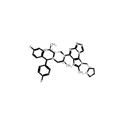 Cc1nc2c(N3C[C@@H]([C@H](C)O)N(C(c4ccc(F)cc4)c4ccc(F)cc4)C[C@@H]3C)nc3nncn3c2n1C[C@@H]1CCCO1